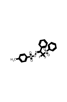 Cc1ccc(S(=O)(=O)ON=C(c2ccccc2)C(F)(F)S(=O)(=O)c2ccccc2)cc1